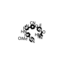 COc1nc(Nc2cc(-c3ccc(O[C@H]4CCN(C(=O)c5cnn[nH]5)C[C@H]4F)c(C#N)c3)ncn2)ccc1N1CCN(C)CC1